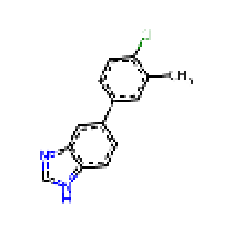 Cc1cc(-c2ccc3[nH]cnc3c2)ccc1Cl